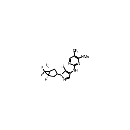 CNc1nc(Nc2cnn(C3C[C@@H]4[C@H](C3)C4(F)F)c2Cl)ncc1C(F)(F)F